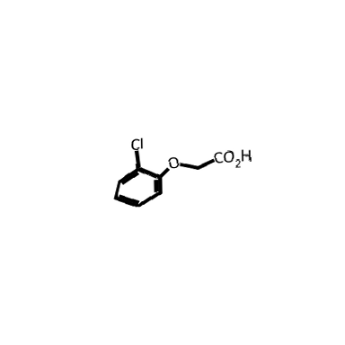 O=C(O)COc1ccccc1Cl